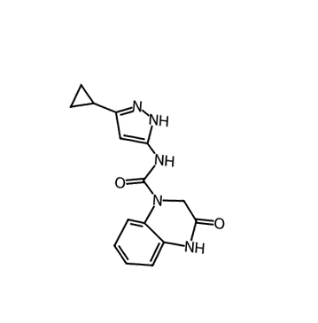 O=C1CN(C(=O)Nc2cc(C3CC3)n[nH]2)c2ccccc2N1